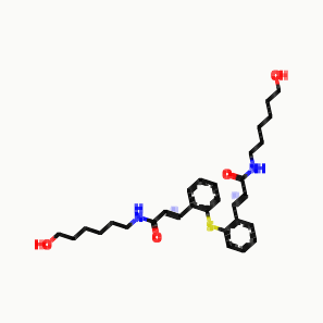 O=C(/C=C/c1ccccc1Sc1ccccc1/C=C/C(=O)NCCCCCCO)NCCCCCCO